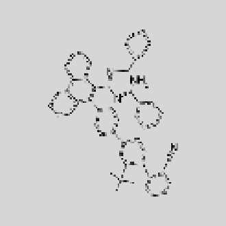 CC(C)(C)c1cc(-c2ccc(-c3c(C(/N=C(\N)c4ccccc4)=N/Cc4ccccc4)c4ccccc4c4ccccc34)cc2)ccc1-c1ccccc1C#N